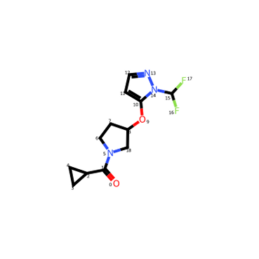 O=C(C1CC1)N1CCC(Oc2ccnn2C(F)F)C1